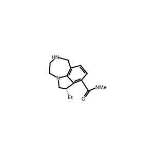 CC[C@@H]1CN2CCNCc3ccc(C(=O)NC)c1c32